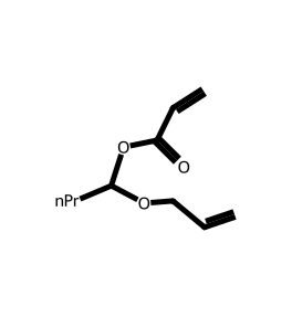 C=CCOC(CCC)OC(=O)C=C